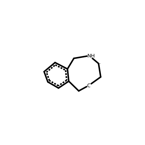 [CH]1CCCc2ccccc2CN1